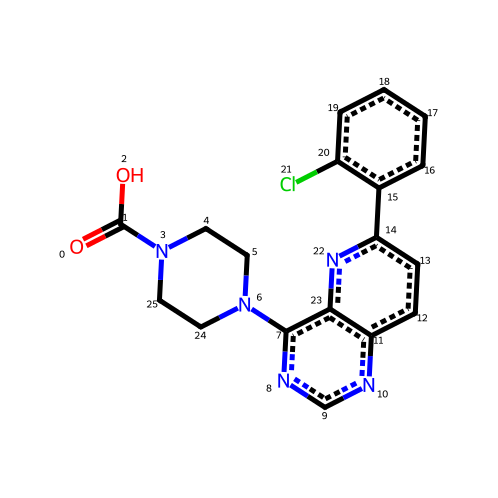 O=C(O)N1CCN(c2ncnc3ccc(-c4ccccc4Cl)nc23)CC1